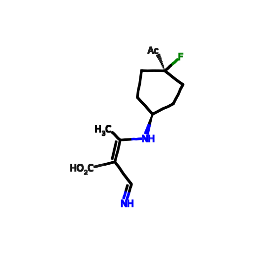 C/C(N[C@H]1CC[C@](F)(C(C)=O)CC1)=C(/C=N)C(=O)O